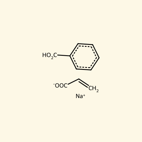 C=CC(=O)[O-].O=C(O)c1ccccc1.[Na+]